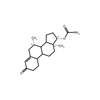 C[C@H]1CC2=CC(=O)CCC2C2CC[C@@]3(C)C(CC[C@@H]3OC(N)=O)C21